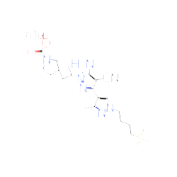 Cc1nn(CCCCS(C)(C)C)cc1-c1nn([C@H]2C[C@@]3(CCN(C(=O)OC(C)(C)C)C3)C2)c(N)c1C#N